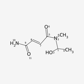 CC(O)N(C)C(=O)/C=C/C(N)=O